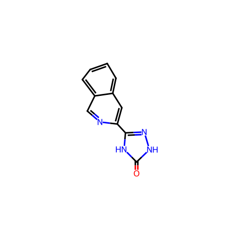 O=c1[nH]nc(-c2cc3ccccc3cn2)[nH]1